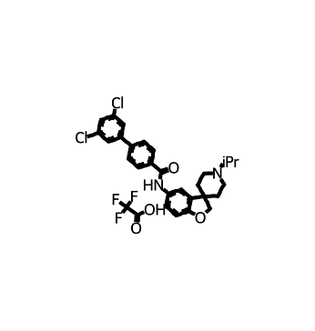 CC(C)N1CCC2(CC1)COc1ccc(NC(=O)c3ccc(-c4cc(Cl)cc(Cl)c4)cc3)cc12.O=C(O)C(F)(F)F